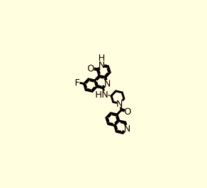 O=C(c1cccc2ccncc12)N1CCC[C@@H](Nc2nc3cc[nH]c(=O)c3c3cc(F)ccc23)C1